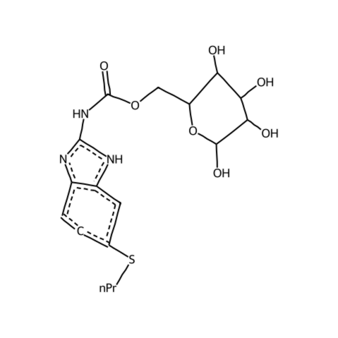 CCCSc1ccc2nc(NC(=O)OCC3OC(O)C(O)C(O)C3O)[nH]c2c1